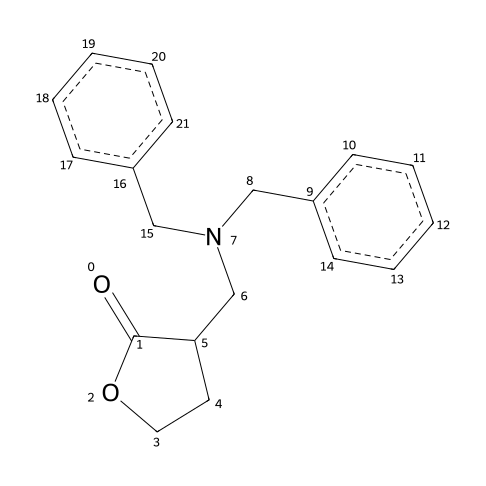 O=C1OCCC1CN(Cc1ccccc1)Cc1ccccc1